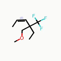 C/C=C\C(CC)(COC)C(F)(F)F